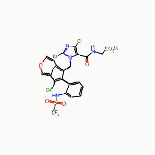 CCc1nc(Cl)c(C(=O)NCC(=O)O)n1Cc1c2ccocc-2c(Br)c1-c1ccccc1NS(=O)(=O)C(F)(F)F